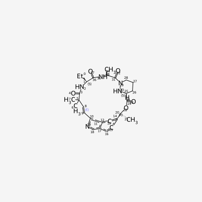 CC[C@@H]1NC(=O)C(C)(C)/C=C/c2cc3cc(ccc3cn2)[C@@H](C)OC(=O)[C@@H]2CCCN(N2)C(=O)[C@H](C)NC1=O